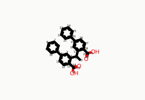 CC(c1cc(-c2ccccc2)ccc1C(=O)O)c1cc(-c2ccccc2)ccc1C(=O)O